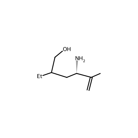 C=C(C)[C@@H](N)CC(CC)CO